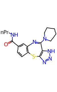 CCCNC(=O)c1ccc2c(c1)N=C(N1CCCCC1)c1[nH]nnc1S2